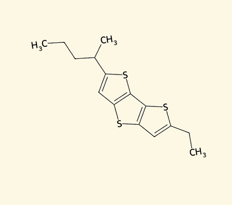 CCCC(C)c1cc2sc3cc(CC)sc3c2s1